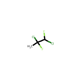 [CH2]C(F)(Cl)C(F)Cl